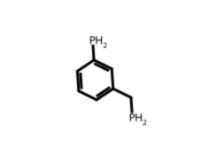 PCc1cccc(P)c1